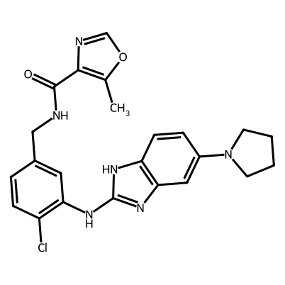 Cc1ocnc1C(=O)NCc1ccc(Cl)c(Nc2nc3cc(N4CCCC4)ccc3[nH]2)c1